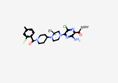 CC[C@H]1CN(c2nc(N)c(C(=O)NC)nc2Cl)CCN1C1CCN(C(=O)c2ccc(C)cc2F)CC1